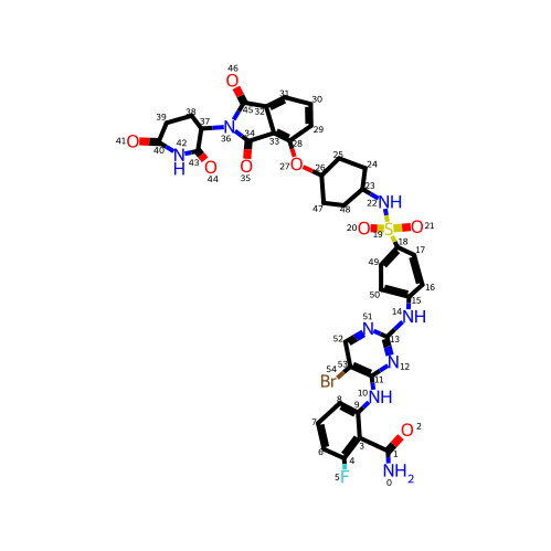 NC(=O)c1c(F)cccc1Nc1nc(Nc2ccc(S(=O)(=O)NC3CCC(Oc4cccc5c4C(=O)N(C4CCC(=O)NC4=O)C5=O)CC3)cc2)ncc1Br